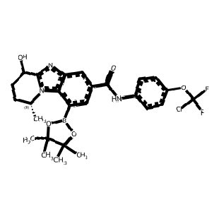 C[C@@H]1CCC(O)c2nc3cc(C(=O)Nc4ccc(OC(F)(F)Cl)cc4)cc(B4OC(C)(C)C(C)(C)O4)c3n21